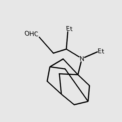 CCC(CC=O)N(CC)C12CC3CC(CC(C3)C1)C2